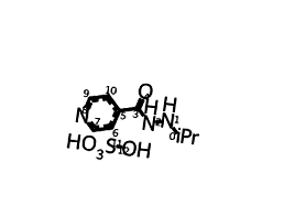 CC(C)NNC(=O)c1ccncc1.O=S(=O)(O)O